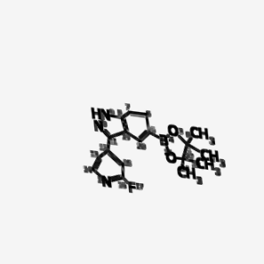 CC1(C)OB(c2ccc3[nH]nc(-c4ccnc(F)c4)c3c2)OC1(C)C